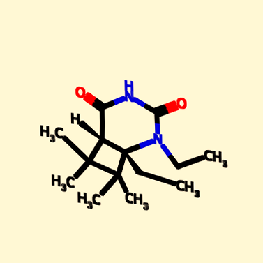 CCN1C(=O)NC(=O)[C@H]2C(C)(C)C(C)(C)[C@]21CC